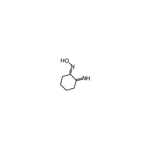 N=C1CCCCC1=NO